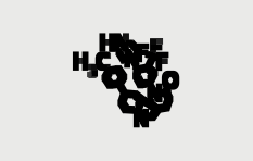 Cc1ccc(-c2ccc3ncc4ccc(=O)n(-c5ccc(N6CCNCC6)c(C(F)(F)F)c5)c4c3c2)cc1